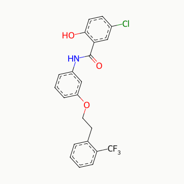 O=C(Nc1cccc(OCCc2ccccc2C(F)(F)F)c1)c1cc(Cl)ccc1O